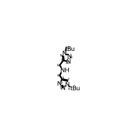 CC(C)(C)n1cc(CNCc2cn(C(C)(C)C)nn2)nn1